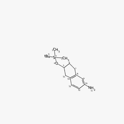 CC(C)(C)[Si](C)(C)OC1CCc2cc(N)ccc2C1